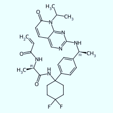 C=CC(=O)N[C@H](C)C(=O)NC1(c2ccc([C@H](C)Nc3ncc4ccc(=O)n(C(C)C)c4n3)cc2)CCC(F)(F)CC1